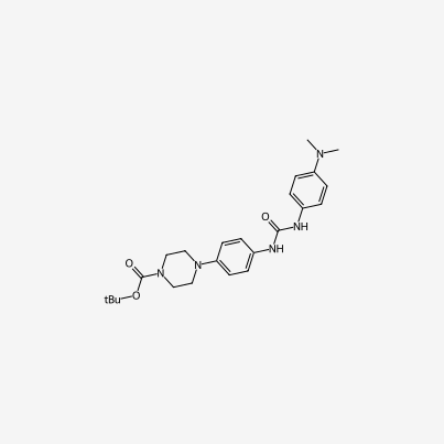 CN(C)c1ccc(NC(=O)Nc2ccc(N3CCN(C(=O)OC(C)(C)C)CC3)cc2)cc1